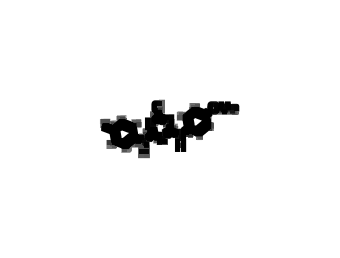 COc1ccc(Nc2nc(Cl)nc(Nc3ccc(C)cc3)n2)cc1